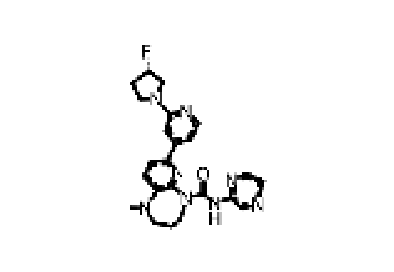 CN1CCCN(C(=O)Nc2cnccn2)c2nc(-c3ccnc(N4CC[C@H](F)C4)c3)ccc21